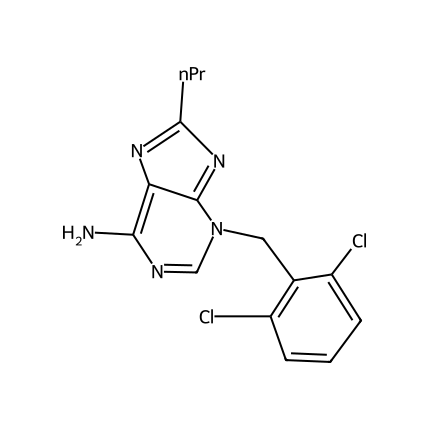 CCCc1nc2c(N)ncn(Cc3c(Cl)cccc3Cl)c-2n1